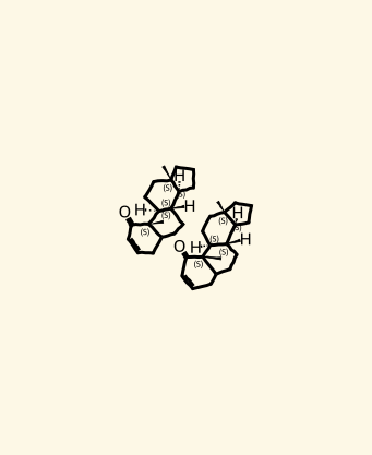 C[C@@]12CCC[C@H]1[C@@H]1CCC3CC=CC(=O)[C@]3(C)[C@H]1CC2.C[C@@]12CCC[C@H]1[C@@H]1CCC3CC=CC(=O)[C@]3(C)[C@H]1CC2